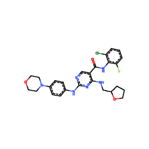 O=C(Nc1c(F)cccc1Cl)c1cnc(Nc2ccc(N3CCOCC3)cc2)nc1NCC1CCCO1